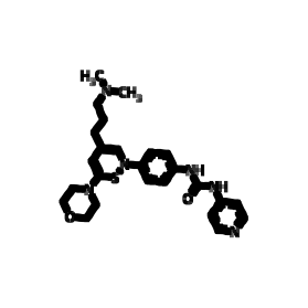 CN(C)CCCC1=CN(c2ccc(NC(=O)Nc3ccncc3)cc2)SC(N2CCOCC2)=C1